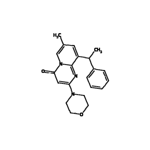 Cc1cc(C(C)c2ccccc2)c2nc(N3CCOCC3)cc(=O)n2c1